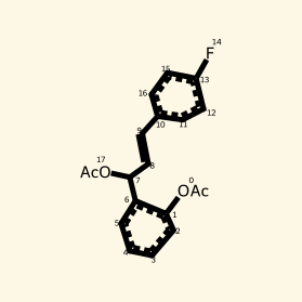 CC(=O)Oc1ccccc1C(/C=C/c1ccc(F)cc1)OC(C)=O